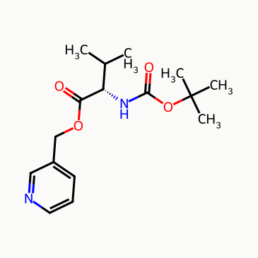 CC(C)[C@H](NC(=O)OC(C)(C)C)C(=O)OCc1cccnc1